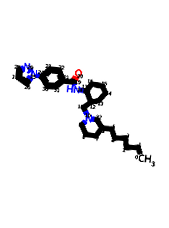 CCCCCCC1CCCN(CC2CCCCC2NC(=O)c2ccc(-n3cccn3)cc2)C1